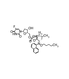 CCCCCON(c1cccc2ccccc12)[C@@H](CC(C)C)C(=O)OP(=O)(O)OC[C@H]1O[C@@H](n2cc(F)c(=O)[nH]c2=O)C[C@@H]1O